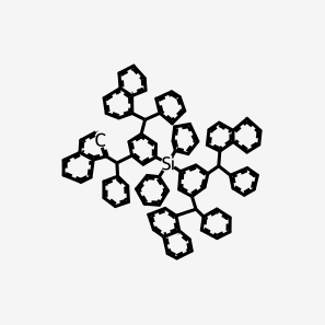 c1ccc(C(c2cc(C(c3ccccc3)c3cccc4ccccc34)cc([Si](c3ccccc3)(c3ccccc3)c3cc(C(c4ccccc4)c4cccc5ccccc45)cc(C(c4ccccc4)c4cccc5ccccc45)c3)c2)c2cccc3ccccc23)cc1